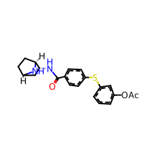 CC(=O)Oc1cccc(Sc2ccc(C(=O)N[C@@H]3C[C@H]4CC[C@@H]3N4)cc2)c1